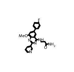 COc1cc(-c2ccc(F)cc2)cc2c(NCCC(N)=O)nc(-c3cccnc3)nc12